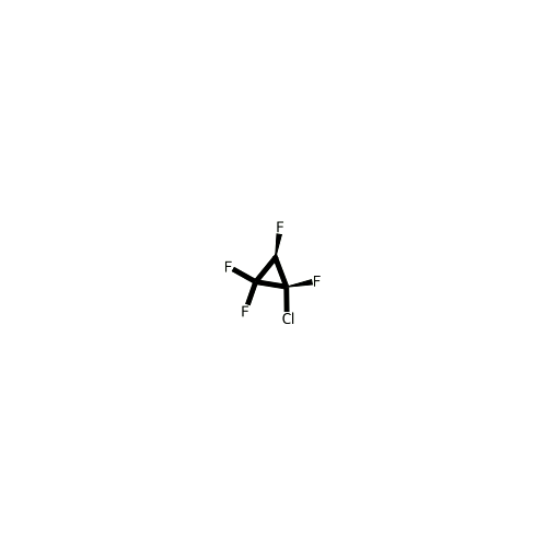 F[C@@H]1C(F)(F)[C@@]1(F)Cl